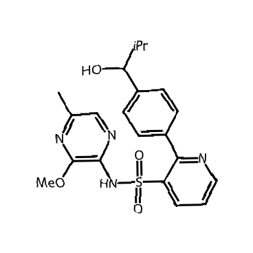 COc1nc(C)cnc1NS(=O)(=O)c1cccnc1-c1ccc(C(O)C(C)C)cc1